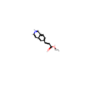 COC(=O)/C=C/c1ccc2cnccc2c1